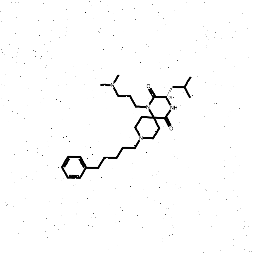 CC(C)C[C@@H]1NC(=O)C2(CCN(CCCCCc3ccccc3)CC2)N(CCCN(C)C)C1=O